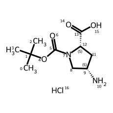 CC(C)(C)OC(=O)N1C[C@@H](N)C[C@H]1C(=O)O.Cl